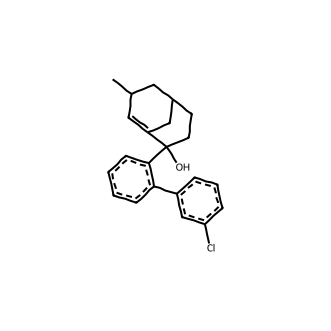 CC1C=C2CC(CCC2(O)c2ccccc2-c2cccc(Cl)c2)C1